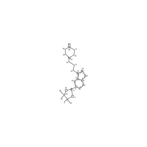 CC1(C)OB(c2ccc3cnn(CCCN4CCNCC4)c3c2)OC1(C)C